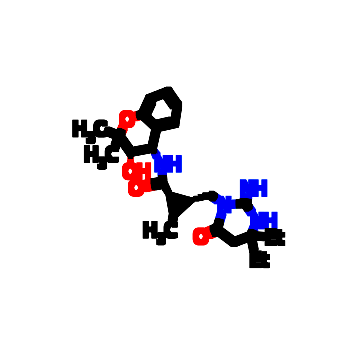 CCC1(CC)CC(=O)N(C[C@@H]2C(C)[C@H]2C(=O)N[C@@H]2c3ccccc3OC(C)(C)[C@H]2O)C(=N)N1